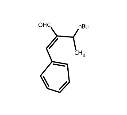 CCCCC(C)C(C=O)=Cc1ccccc1